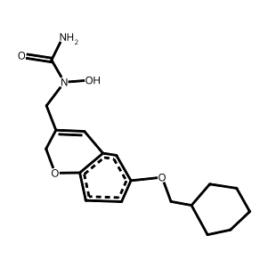 NC(=O)N(O)CC1=Cc2cc(OCC3CCCCC3)ccc2OC1